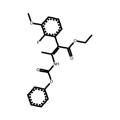 CCOC(=O)C(=C(C)NC(=O)Oc1ccccc1)c1cccc(OC)c1F